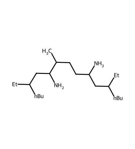 CCCCC(CC)CC(N)CCC(C)C(N)CC(CC)CCCC